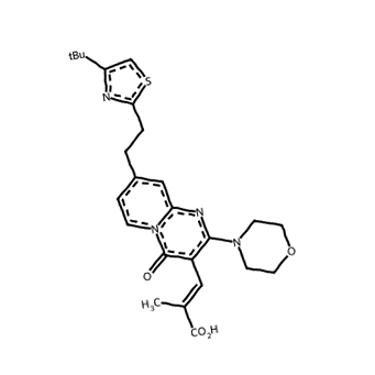 CC(=Cc1c(N2CCOCC2)nc2cc(CCc3nc(C(C)(C)C)cs3)ccn2c1=O)C(=O)O